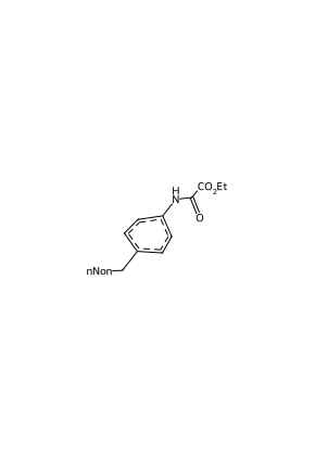 CCCCCCCCCCc1ccc(NC(=O)C(=O)OCC)cc1